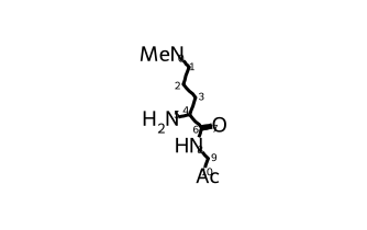 CNCCCC(N)C(=O)NCC(C)=O